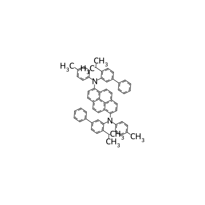 Cc1ccc(N(c2cc(-c3ccccc3)ccc2C(C)C)c2ccc3ccc4c(N(c5ccc(C)cc5)c5cc(-c6ccccc6)ccc5C(C)C)ccc5ccc2c3c54)cc1